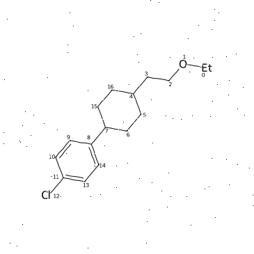 CCOCCC1CCC(c2ccc(Cl)cc2)CC1